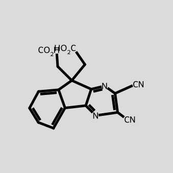 N#Cc1nc2c(nc1C#N)C(CC(=O)O)(CC(=O)O)c1ccccc1-2